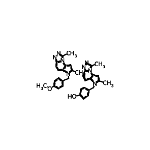 COc1ccc(Cn2c(C)cc3c2ccc2nnc(C)n23)cc1.Cc1cc2c(ccc3nnc(C)n32)n1Cc1ccc(O)cc1